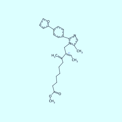 C=C(CCCCCCC(=O)OC)/C(=C\C)Cn1c(C)cnc1-c1ccc(-c2ccco2)cc1